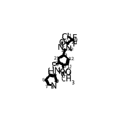 CP(=O)(Nc1cccnc1)c1ccc(-c2noc(C(F)(F)Cl)n2)cc1F